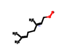 CC(C)=CCC/C(C)=C/CO[O]